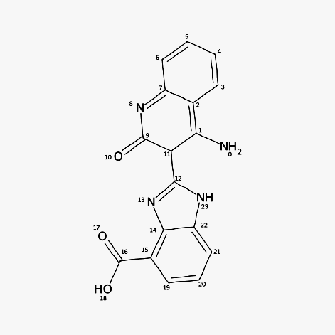 NC1=c2ccccc2=NC(=O)C1c1nc2c(C(=O)O)cccc2[nH]1